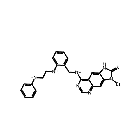 CCn1c(=S)[nH]c2cc3c(NCc4ccccc4NCCNc4ccccc4)ncnc3cc21